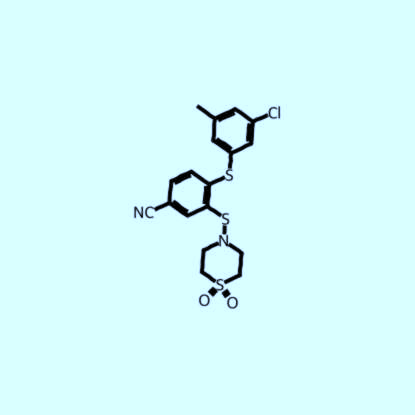 Cc1cc(Cl)cc(Sc2ccc(C#N)cc2SN2CCS(=O)(=O)CC2)c1